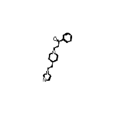 O=C(CCN1CCC(CCn2ccnc2)CC1)c1ccccc1